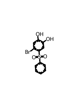 O=S(=O)(c1ccccc1)c1cc(O)c(O)cc1Br